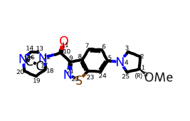 CO[C@@H]1CCN(c2ccc3c(C(=O)N4CCN5CCC4CC5)nsc3c2)C1